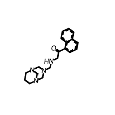 O=C(CNCN1CN2CCCN(C2)C1)c1cccc2ccccc12